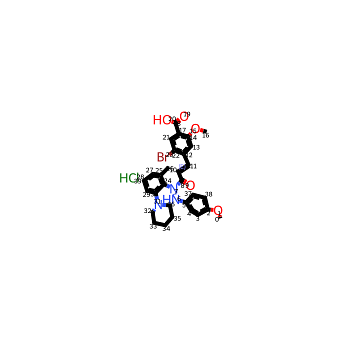 COc1ccc(NN(C(=O)/C=C/c2cc(OC)c(C(=O)O)cc2Br)c2c(C)cccc2N2CCCCC2)cc1.Cl